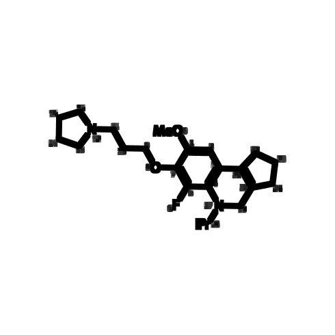 COc1cc2c(c(F)c1OCCCN1CCCC1)N(C(C)C)CC1=C2CCC1